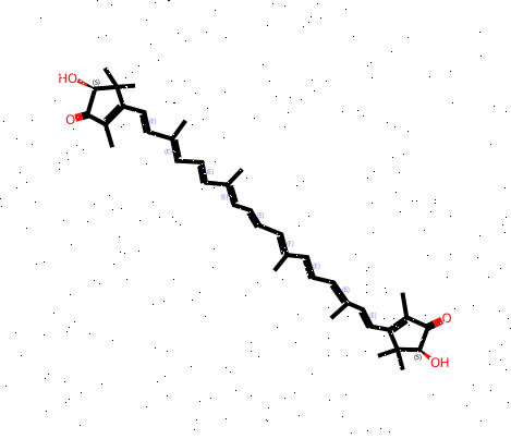 CC1=C(/C=C/C(C)=C/C=C/C(C)=C/C=C/C=C(C)/C=C/C=C(C)/C=C/C2=C(C)C(=O)[C@@H](O)C2(C)C)C(C)(C)[C@H](O)C1=O